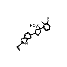 Cc1c(F)cccc1C1(C(=O)O)CCC(c2ccc3sc(C4CC4)nc3c2)C1